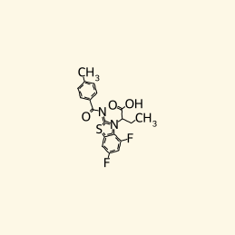 CCC(C(=O)O)n1c(=NC(=O)c2ccc(C)cc2)sc2cc(F)cc(F)c21